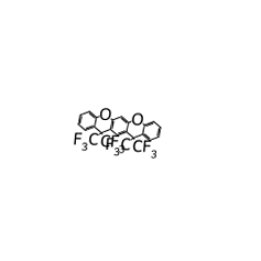 FC(F)(F)C1(C(F)(F)F)c2ccccc2Oc2cc3c(cc21)C(C(F)(F)F)(C(F)(F)F)c1ccccc1O3